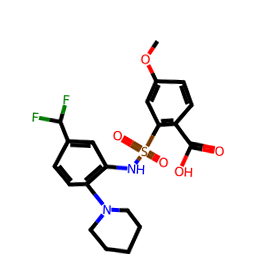 COc1ccc(C(=O)O)c(S(=O)(=O)Nc2cc(C(F)F)ccc2N2CCCCC2)c1